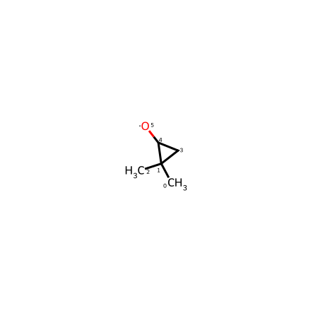 CC1(C)CC1[O]